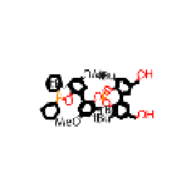 COc1cc(-c2cc(OC)cc(C(C)(C)C)c2Op2oc3c(C(C)(C)C)cc(CO)cc3c3cc(CO)cc(C(C)(C)C)c3o2)c(OP(C2CCCCC2)C2CCCCC2)c(C(C)(C)C)c1